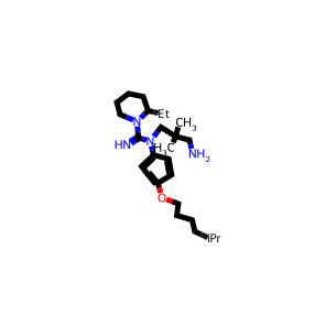 CCC1CCCCN1C(=N)N(CC(C)(C)CN)c1ccc(OCCCCC(C)C)cc1